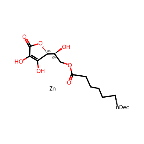 CCCCCCCCCCCCCCCC(=O)OC[C@H](O)[C@H]1OC(=O)C(O)=C1O.[Zn]